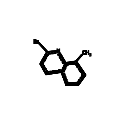 Cc1cccc2ccc(Br)nc12